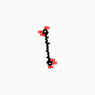 CC(/C=C/C=C(C)/C=C/[C@@]1(O)C(C)(C)C[C@H](O)C[C@@]1(C)O)=C\C=C\C=C(C)\C=C\C=C(C)\C=C\[C@@]1(O)C(C)(C)C[C@H](O)C[C@@]1(C)O